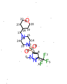 Cn1nc(C(F)(F)F)cc1S(=O)(=O)N1CCN(CC2CCOCC2)CC1